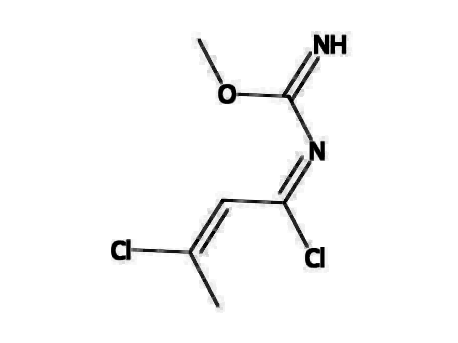 COC(=N)/N=C(Cl)\C=C(/C)Cl